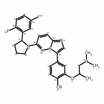 CC(CN(C)C)Oc1cc(-c2cnc3ccc(N4CCCC4c4cc(F)ccc4F)nn23)ccc1C#N